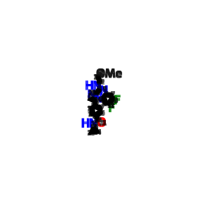 COCCNc1nc2cc(F)c(F)cc2n2c(-c3ccc(C(=O)NC4CC4)cc3)cnc12